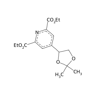 CCOC(=O)c1cc(C2COC(C)(C)O2)cc(C(=O)OCC)n1